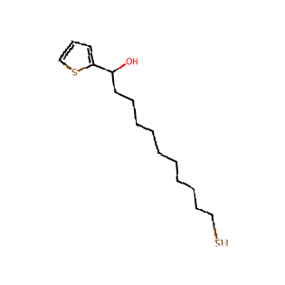 OC(CCCCCCCCCCS)c1cccs1